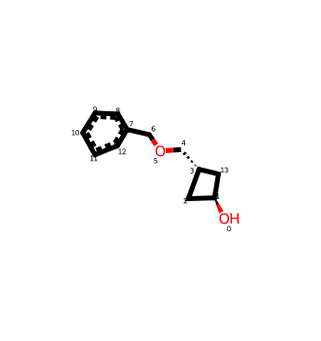 O[C@H]1C[C@H](COCc2ccccc2)C1